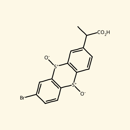 CC(C(=O)O)c1ccc2c(c1)[S+]([O-])c1cc(Br)ccc1[S+]2[O-]